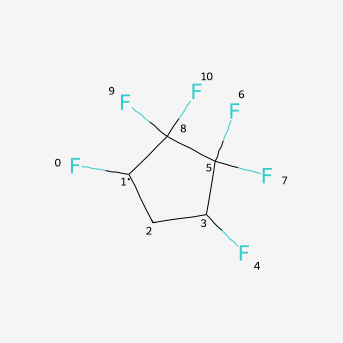 F[C]1CC(F)C(F)(F)C1(F)F